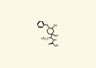 CCCC(=O)NC(C(=O)O)C1(N=O)CCN(Cc2ccccc2)C(S)C1